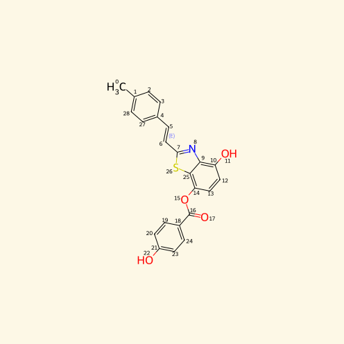 Cc1ccc(/C=C/c2nc3c(O)ccc(OC(=O)c4ccc(O)cc4)c3s2)cc1